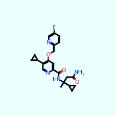 CC(CC(N)=O)(NC(=O)c1cc(OCc2ccc(F)cn2)c(C2CC2)cn1)C1CC1